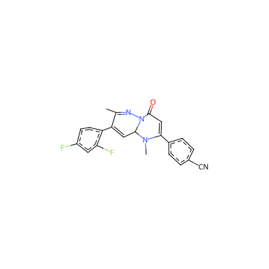 CC1=NN2C(=O)C=C(c3ccc(C#N)cc3)N(C)C2C=C1c1ccc(F)cc1F